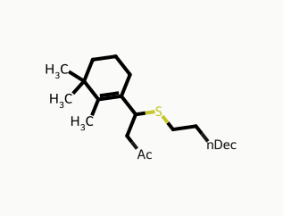 CCCCCCCCCCCCSC(CC(C)=O)C1=C(C)C(C)(C)CCC1